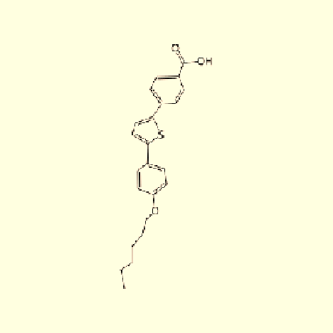 CCCCCCOc1ccc(-c2ccc(-c3ccc(C(=O)O)cc3)s2)cc1